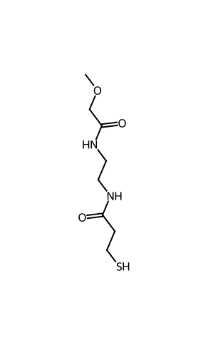 COCC(=O)NCCNC(=O)CCS